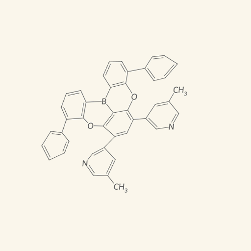 Cc1cncc(-c2cc(-c3cncc(C)c3)c3c4c2Oc2c(cccc2-c2ccccc2)B4c2cccc(-c4ccccc4)c2O3)c1